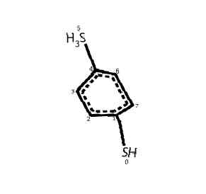 Sc1ccc([SH3])cc1